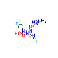 Cn1cnc(COc2cc(N(C(=O)O)C3CCC(F)(F)CC3)nc(-c3nc(CF)cs3)n2)n1